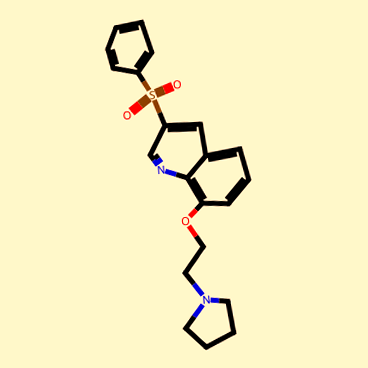 O=S(=O)(c1ccccc1)c1cnc2c(OCCN3CCCC3)cccc2c1